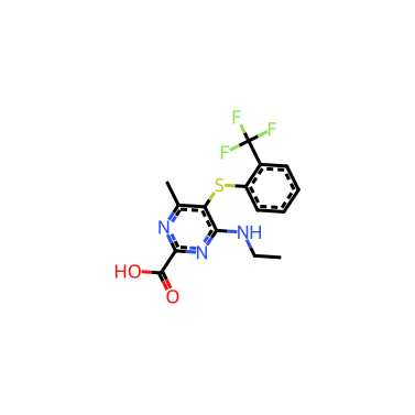 CCNc1nc(C(=O)O)nc(C)c1Sc1ccccc1C(F)(F)F